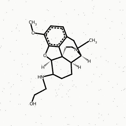 COc1ccc2c3c1O[C@@H]1C(NCCO)CC[C@@H]4[C@H](C2)N(C)CC[C@@]314